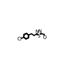 O=Cc1nnc(CCc2ccc(Cl)cc2)s1